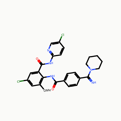 COc1cc(Cl)cc(C(=O)Nc2ccc(Cl)cn2)c1NC(=O)c1ccc(C(=N)N2CCCCC2)cc1